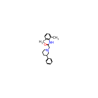 Cc1cccc(C)c1NC(=O)CN1CCCC(c2ccccc2)C1